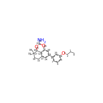 CCCOc1cccc(-c2ccc3c(c2)CCC(C)(C)[C@H]3OC(N)=O)c1